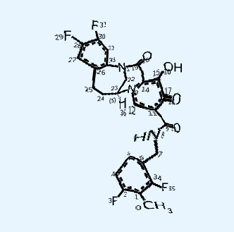 Cc1c(F)ccc(CNC(=O)c2cn3c(c(O)c2=O)C(=O)N2C[C@@H]3CCc3cc(F)c(F)cc32)c1F